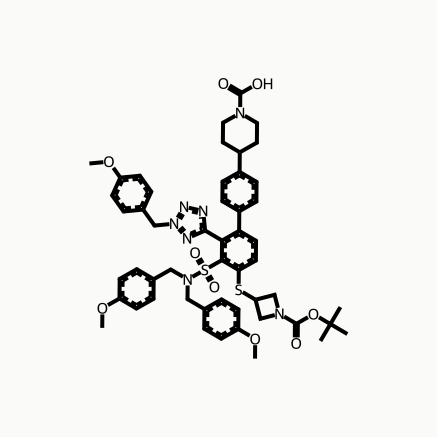 COc1ccc(CN(Cc2ccc(OC)cc2)S(=O)(=O)c2c(SC3CN(C(=O)OC(C)(C)C)C3)ccc(-c3ccc(C4CCN(C(=O)O)CC4)cc3)c2-c2nnn(Cc3ccc(OC)cc3)n2)cc1